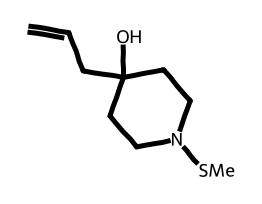 C=CCC1(O)CCN(SC)CC1